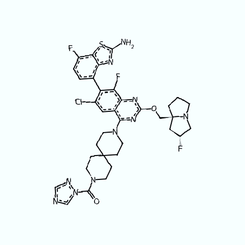 Nc1nc2c(-c3c(Cl)cc4c(N5CCC6(CCN(C(=O)n7cncn7)CC6)CC5)nc(OC[C@@]56CCCN5C[C@H](F)C6)nc4c3F)ccc(F)c2s1